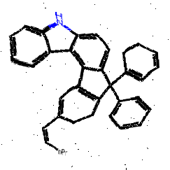 CCC/C=C\C1=CC2=C(CC1)C(C1=CC=CCC1)(c1ccccc1)c1ccc3[nH]c4ccccc4c3c12